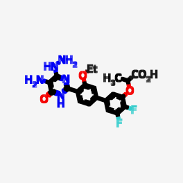 CCOc1cc(-c2cc(F)c(F)c(OC(C)C(=O)O)c2)ccc1-c1nc(NN)c(N)c(=O)[nH]1